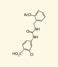 CC(=O)Oc1ccccc1CNC(=O)Nc1ccc(C(=O)O)c(Cl)c1